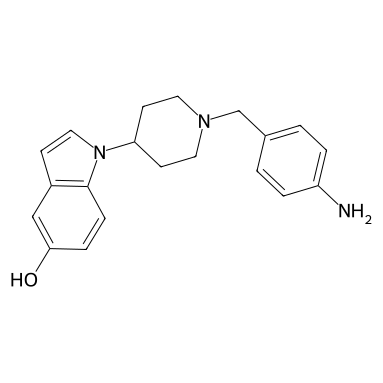 Nc1ccc(CN2CCC(n3ccc4cc(O)ccc43)CC2)cc1